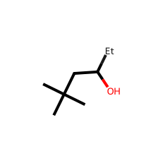 [CH2]CC(O)CC(C)(C)C